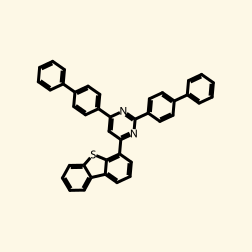 c1ccc(-c2ccc(-c3cc(-c4cccc5c4sc4ccccc45)nc(-c4ccc(-c5ccccc5)cc4)n3)cc2)cc1